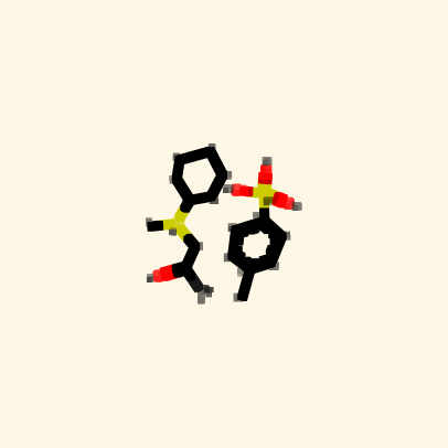 CC(C)C(=O)C[S+](C)C1CCCCC1.Cc1ccc(S(=O)(=O)[O-])cc1